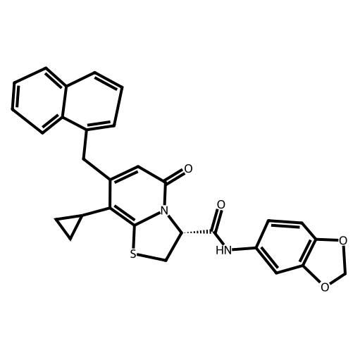 O=C(Nc1ccc2c(c1)OCO2)[C@@H]1CSc2c(C3CC3)c(Cc3cccc4ccccc34)cc(=O)n21